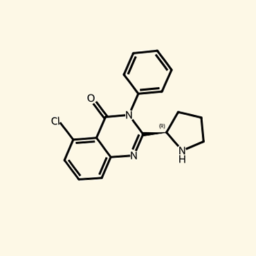 O=c1c2c(Cl)cccc2nc([C@H]2CCCN2)n1-c1ccccc1